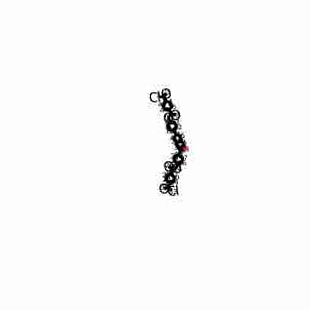 O=C(Cl)c1ccc(C(=O)Oc2ccc(C3CC4C5CC(c6ccc(OC(=O)c7ccc(C(=O)Cl)cc7)cc6)C(C5)C4C3)cc2)cc1